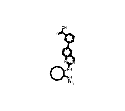 O=C(O)c1cccc(-c2ccc3nc(N[C@H]4CCCCCCCC4NP)ncc3c2)c1